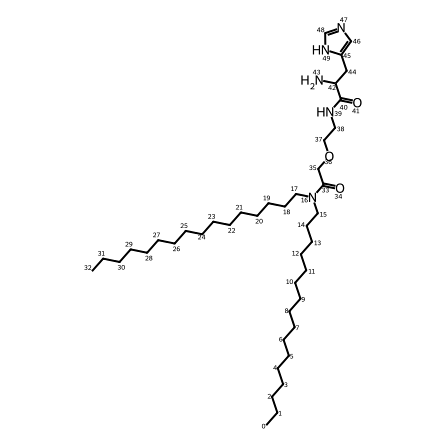 CCCCCCCCCCCCCCCCN(CCCCCCCCCCCCCCCC)C(=O)COCCNC(=O)C(N)Cc1cnc[nH]1